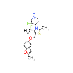 CC1=C(COc2ccc3oc(C)cc3c2)SC(C)N1C1CCNCC1(F)F